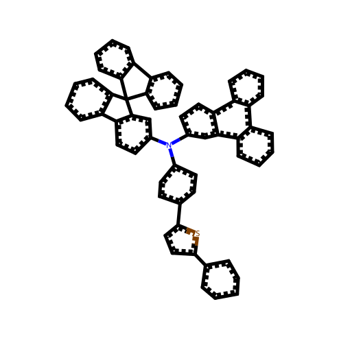 c1ccc(-c2ccc(-c3ccc(N(c4ccc5c(c4)C4(c6ccccc6-c6ccccc64)c4ccccc4-5)c4ccc5c6ccccc6c6ccccc6c5c4)cc3)s2)cc1